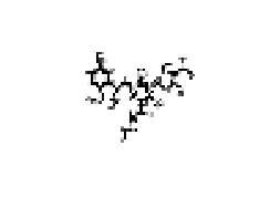 CCO/N=C(\C)c1cn(CC(OC)c2cc(F)ccc2OC)c(=O)n(CCN(C)C(=O)C(C)C)c1=O